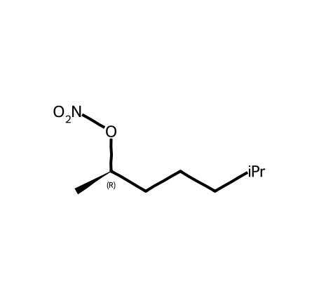 CC(C)CCC[C@@H](C)O[N+](=O)[O-]